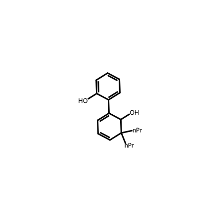 CCCC1(CCC)C=CC=C(c2ccccc2O)C1O